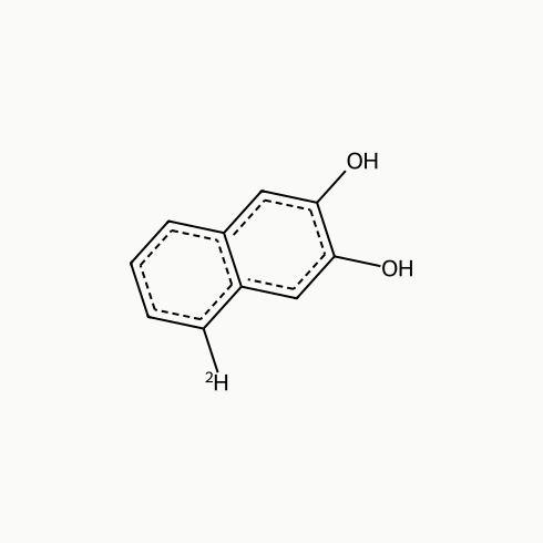 [2H]c1cccc2cc(O)c(O)cc12